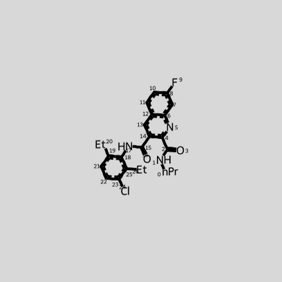 CCCNC(=O)c1nc2cc(F)ccc2cc1C(=O)Nc1c(CC)ccc(Cl)c1CC